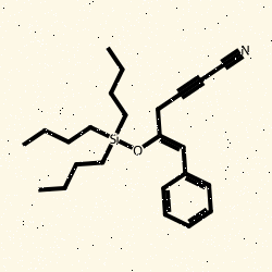 CCCC[Si](CCCC)(CCCC)O/C(=C\c1ccccc1)CC#CC#N